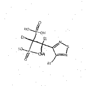 CCc1nsnc1C(CC)(CC)C(CC)(P(=O)(O)O)P(=O)(O)O